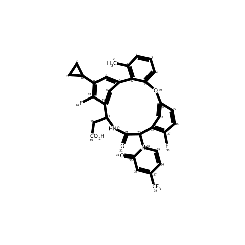 Cc1cccc2c1-c1cc(C3CC3)c(F)c(c1)C(CC(=O)O)NC(=O)C(n1ccc(C(F)(F)F)cc1=O)c1cc(ccc1F)O2